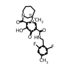 Cc1cc(F)c(CNC(=O)c2cn3c(c(O)c2=O)C(=O)N2CCCC[C@]3(C)C2)c(F)c1